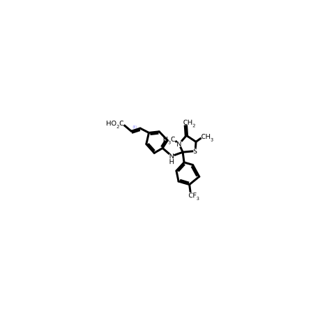 C=C1C(C)SC(Nc2ccc(/C=C/C(=O)O)cc2)(c2ccc(C(F)(F)F)cc2)N1C